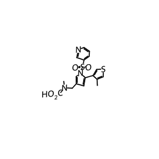 Cc1cscc1-c1cc(CN(C)C(=O)O)cn1S(=O)(=O)c1cccnc1